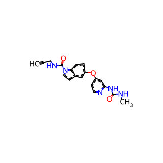 C#CCNC(=O)n1ccc2cc(Oc3ccnc(NC(=O)NC)c3)ccc21